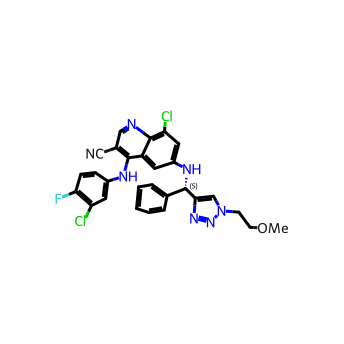 COCCn1cc([C@@H](Nc2cc(Cl)c3ncc(C#N)c(Nc4ccc(F)c(Cl)c4)c3c2)c2ccccc2)nn1